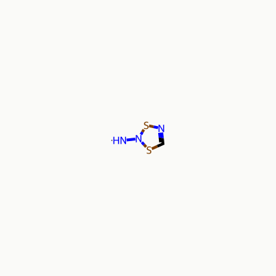 [NH]N1SC=NS1